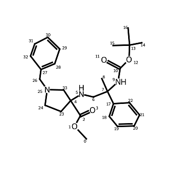 COC(=O)C1(NCC(C)(NC(=O)OC(C)(C)C)c2ccccc2)CCN(Cc2ccccc2)C1